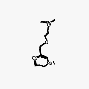 CN(C)CCOCC1=CNCCO1